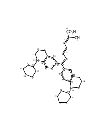 N#C/C(=C\C=C\C=C(c1ccc2c(c1)CCCN2C1CCCCC1)c1ccc2c(c1)CCCN2C1CCCCC1)C(=O)O